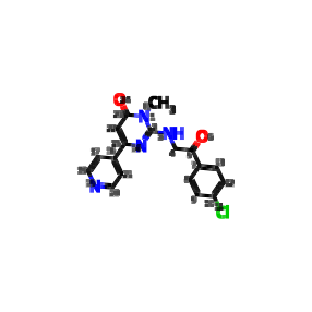 Cn1c(NCC(=O)c2ccc(Cl)cc2)nc(-c2ccncc2)cc1=O